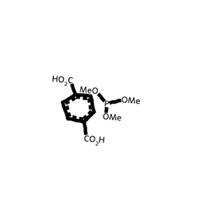 COP(OC)OC.O=C(O)c1ccc(C(=O)O)cc1